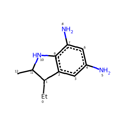 CCC1c2cc(N)cc(N)c2NC1C